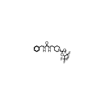 O=C(NCc1ccccc1)NCC1CCN(C(=O)OC(C(F)(F)F)C(F)(F)F)CC1